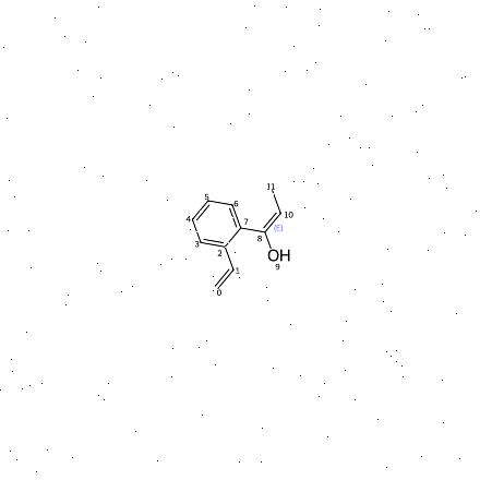 C=Cc1ccccc1/C(O)=C\C